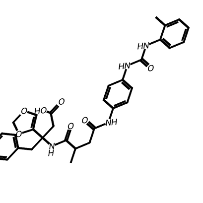 Cc1ccccc1NC(=O)Nc1ccc(NC(=O)CC(C)C(=O)NC(CC(=O)O)(Cc2ccccc2)C2=COCO2)cc1